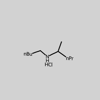 CCCCCNC(C)CCC.Cl